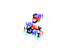 CC(C)(C)[C@H](NC(=O)C(F)(F)F)C(=O)N1[C@H]2CC[C@@H]([C@@H]1C(=O)N[C@@H](/C=C(/F)S(C)(=O)=O)C[C@@H]1CCNC1=O)C(F)(F)C2